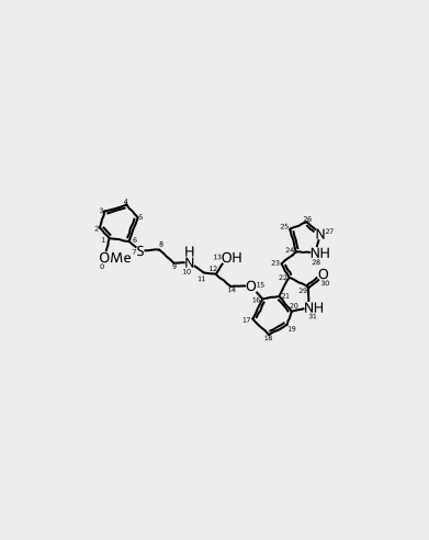 COc1ccccc1SCCNCC(O)COc1cccc2c1C(=Cc1ccn[nH]1)C(=O)N2